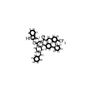 O=C([C@H](Cc1c[nH]c2ccccc12)N(Cc1ccc(-c2ccccn2)cc1)C(=O)/C=C/c1ccc(C(F)(F)F)cc1)N1CCN(Cc2ccccc2)CC1